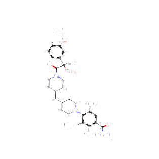 Cc1cc(C(N)=O)c(C)c(C)c1N1CCC(CC2CCN(C(=O)C(O)(c3cccc(OC(C)C)c3)C(F)(F)F)CC2)CC1